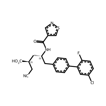 N#CC[C@H](C[C@@H](Cc1ccc(-c2cc(Cl)ccc2F)cc1)NC(=O)c1cnsc1)C(=O)O